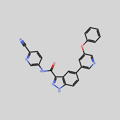 N#Cc1ccc(NC(=O)c2n[nH]c3ccc(-c4cncc(Oc5ccccc5)c4)cc23)cn1